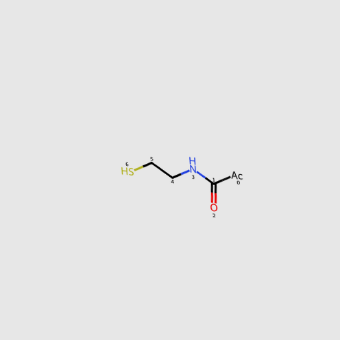 CC(=O)C(=O)NCCS